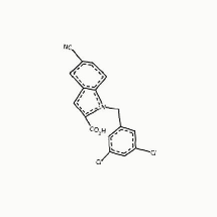 N#Cc1ccc2c(c1)cc(C(=O)O)n2Cc1cc(Cl)cc(Cl)c1